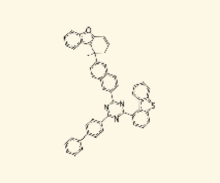 CC1(c2ccc3cc(-c4nc(-c5ccc(-c6ccccc6)cc5)nc(-c5cccc6sc7ccccc7c56)n4)ccc3c2)CC=Cc2oc3ccccc3c21